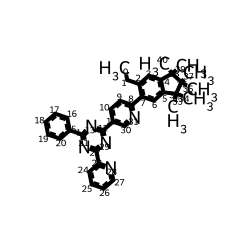 CCc1cc2c(cc1-c1ccc(-c3nc(-c4ccccc4)nc(-c4ccccn4)n3)cn1)C(C)(C)C(C)(C)C2(C)C